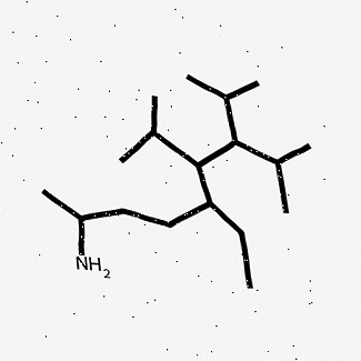 CCC(CCC(C)N)C(C(C)C)C(C(C)C)C(C)C